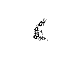 CO/C=C(/C(=O)OC)c1ccccc1COc1ccc(Oc2ccc(C(F)(F)F)cc2)cc1